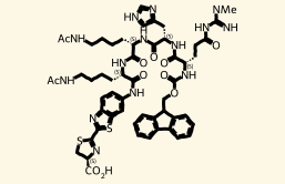 CNC(=N)NC(=O)CC[C@H](NC(=O)OCC1c2ccccc2-c2ccccc21)C(=O)N[C@@H](Cc1c[nH]cn1)C(=O)N[C@@H](CCCCNC(C)=O)C(=O)N[C@@H](CCCCNC(C)=O)C(=O)Nc1ccc2nc(C3=N[C@@H](C(=O)O)CS3)sc2c1